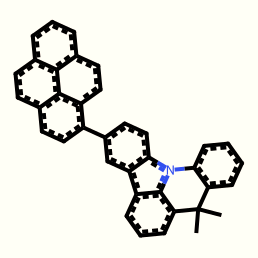 CC1(C)c2ccccc2-n2c3ccc(-c4ccc5ccc6cccc7ccc4c5c67)cc3c3cccc1c32